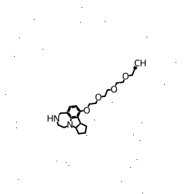 C#CCOCCOCCOCCOc1ccc2c3c1C1CCCC1N3CCNC2